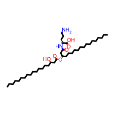 CCCCCCCCCCCCCCCC(O)CC(=O)OC(CCCCCCCCCCCCCCC)CC(=O)N[C@@H](CCCN)C(=O)O